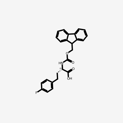 O=C(N[C@@H](CCc1ccc(F)cc1)C(=O)O)OCC1c2ccccc2-c2ccccc21